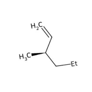 C=C[C@H](C)CCC